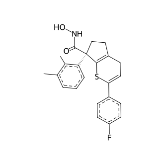 Cc1cccc([C@]2(C(=O)NO)CCC3=C2SC(c2ccc(F)cc2)=CC3)c1C